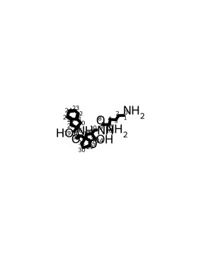 NCCCC[C@H](N)C(=O)NCC(CC1(C(=O)NC2(CO)Cc3ccccc3C2)CCCC1)C(=O)O